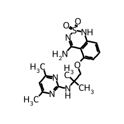 Cc1cc(C)nc(NC(C)(C)COc2cccc3c2C(N)=NS(=O)(=O)N3)n1